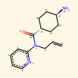 C=CCN(c1ccccn1)C(=O)[C@H]1CC[C@H](N)CC1